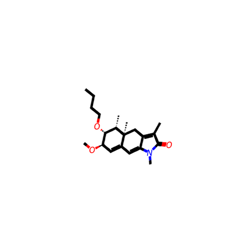 CCCCO[C@H]1[C@H](OC)C=C2C=C3C(=C(C)C(=O)N3C)C[C@]2(C)[C@H]1C